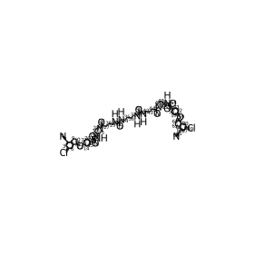 N#Cc1cc(Cl)cc2c1CC[C@H]2Oc1ccc(S(=O)(=O)N[C@H]2CCN(C(=O)CCCNC(=O)NCCCCNC(=O)NCCCC(=O)N3CC[C@H](NS(=O)(=O)c4ccc(O[C@@H]5CCc6c(C#N)cc(Cl)cc65)cc4)C3)C2)cc1